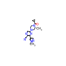 C[C@@H]1CN(c2cnc(C#N)c(-c3cnn(C)c3)n2)CCN1C(=O)C1CC1